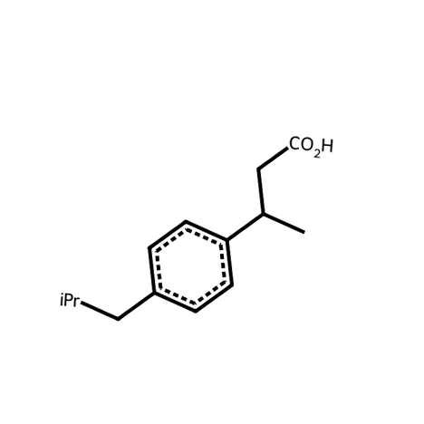 CC(C)Cc1ccc(C(C)CC(=O)O)cc1